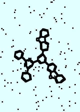 c1ccc(-c2cc(-c3cc(-c4ccc5c(c4)oc4ccccc45)cc(-c4ccc5c(c4)oc4ccccc45)c3)nc(-c3ccccc3)n2)cc1